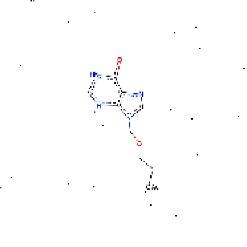 CC(=O)OCCOCn1cnc2c(=O)[nH]cnc21